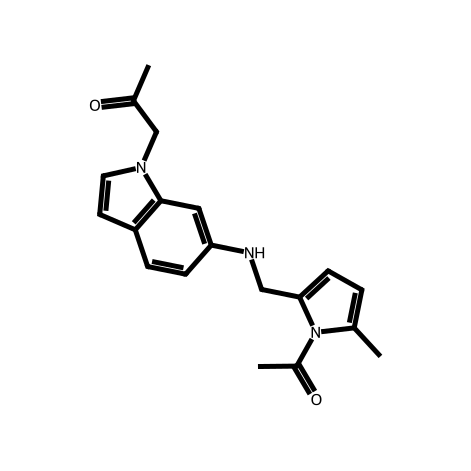 CC(=O)Cn1ccc2ccc(NCc3ccc(C)n3C(C)=O)cc21